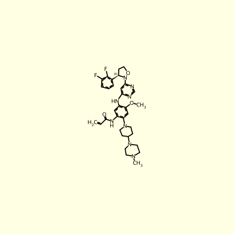 C=CC(=O)Nc1cc(Nc2cc(N3OCC[C@@H]3c3cccc(F)c3F)ncn2)c(OC)cc1N1CCC(N2CCN(C)CC2)CC1